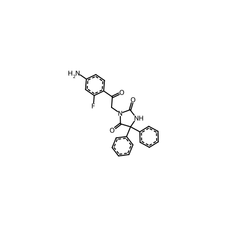 Nc1ccc(C(=O)CN2C(=O)NC(c3ccccc3)(c3ccccc3)C2=O)c(F)c1